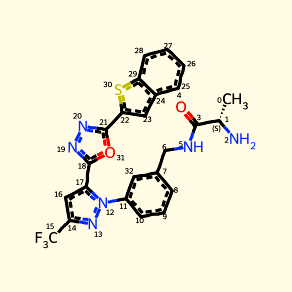 C[C@H](N)C(=O)NCc1cccc(-n2nc(C(F)(F)F)cc2-c2nnc(-c3cc4ccccc4s3)o2)c1